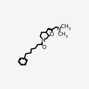 CN(C)CC1=CC2CCN(C(=O)CCCCCc3ccccc3)CC2O1